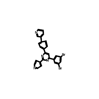 Brc1cc(Br)cc(-c2cc(-c3ccc(-c4cccnc4)cc3)nc(-c3ccncc3)n2)c1